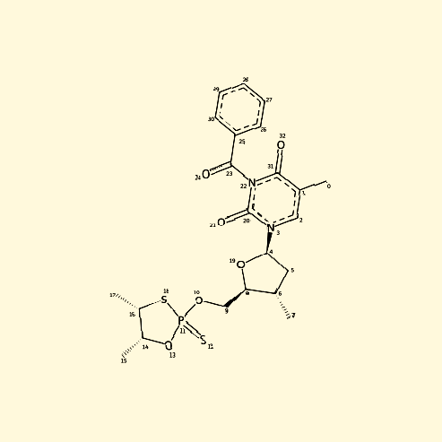 Cc1cn([C@H]2C[C@H](C)[C@@H](COP3(=S)O[C@H](C)[C@H](C)S3)O2)c(=O)n(C(=O)c2ccccc2)c1=O